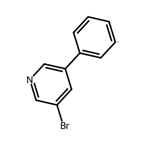 Brc1cncc(-c2c[c]ccc2)c1